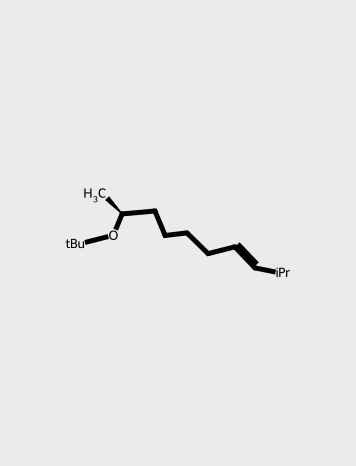 CC(C)/C=C/CCCC[C@H](C)OC(C)(C)C